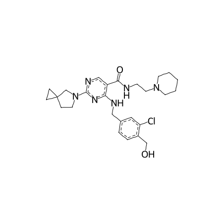 O=C(NCCN1CCCCC1)c1cnc(N2CCC3(CC3)C2)nc1NCc1ccc(CO)c(Cl)c1